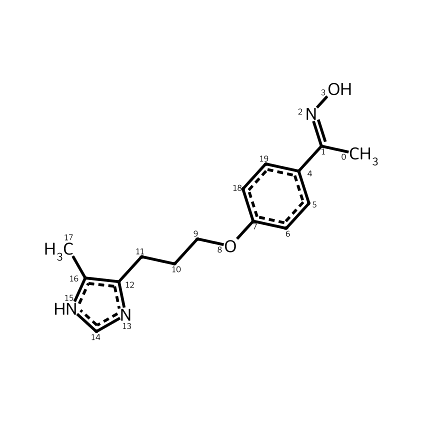 CC(=NO)c1ccc(OCCCc2nc[nH]c2C)cc1